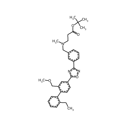 CCc1ccccc1-c1ccc(-c2nc(-c3cccc(CN(C)CCC(=O)OC(C)(C)C)c3)no2)cc1COC